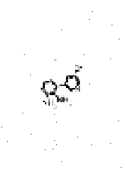 Nc1cccc(-c2cncc(Br)c2)c1N